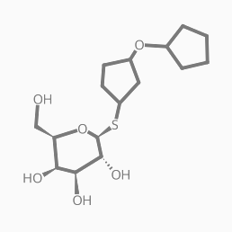 OC[C@H]1O[C@@H](SC2CCC(OC3CCCC3)C2)[C@H](O)[C@@H](O)[C@H]1O